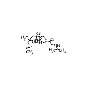 CSOCC(C)(C)CC(C)(C)N1CCN(C(=O)CNC(C)C)CC1